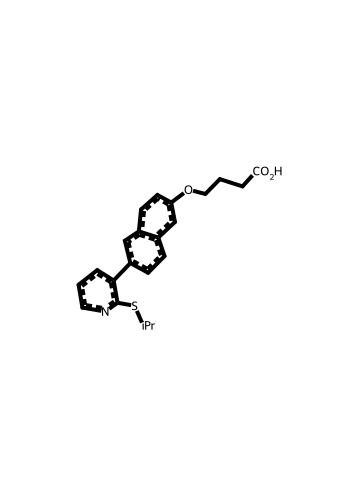 CC(C)Sc1ncccc1-c1ccc2cc(OCCCC(=O)O)ccc2c1